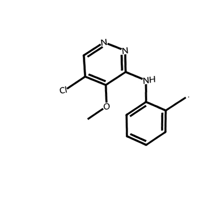 [CH2]c1ccccc1Nc1nncc(Cl)c1OC